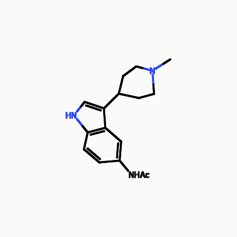 CC(=O)Nc1ccc2[nH]cc(C3CCN(C)CC3)c2c1